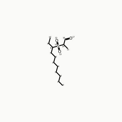 CCCCCCCCC(CC)S(=O)(=O)C(C)C=O